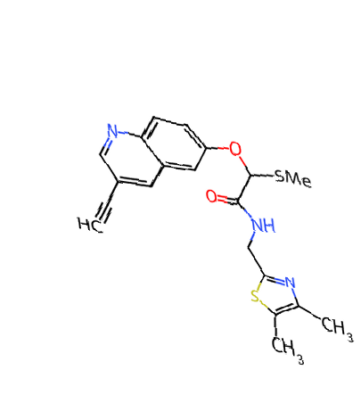 C#Cc1cnc2ccc(OC(SC)C(=O)NCc3nc(C)c(C)s3)cc2c1